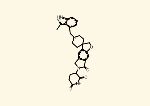 Cc1n[nH]c2cccc(CN3CCC4(CC3)COc3cc5c(cc34)CN(C3CCC(=O)NC3=O)C5=O)c12